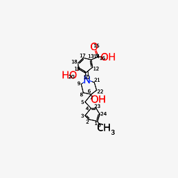 Cc1ccc(CC2(O)CCN(c3cc(C(=O)O)ccc3O)CC2)cc1